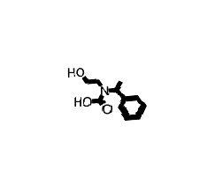 CC(c1ccccc1)N(CCO)C(=O)O